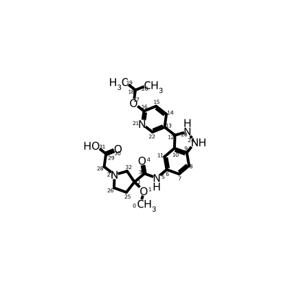 COC1(C(=O)Nc2ccc3c(c2)C(c2ccc(OC(C)C)nc2)NN3)CCN(CC(=O)O)C1